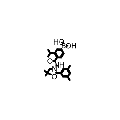 Cc1cc(C)cc(C(=O)N(CC(C)(C)C)NC(=O)c2ccc(B(O)O)cc2C(C)C)c1